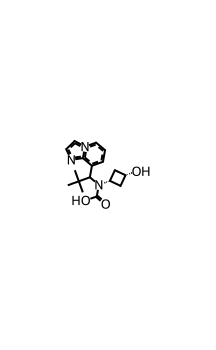 CC(C)(C)C(c1cccn2ccnc12)N(C(=O)O)[C@H]1C[C@@H](O)C1